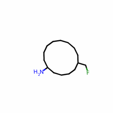 NC1CCCCCCCCC(CF)CCCC1